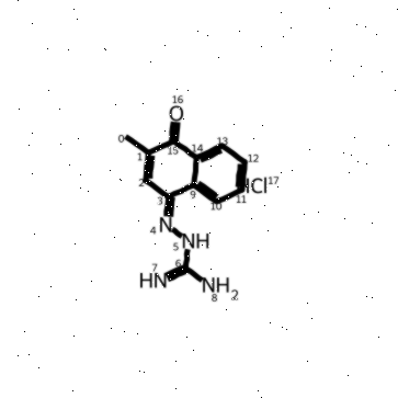 CC1=C/C(=N/NC(=N)N)c2ccccc2C1=O.Cl